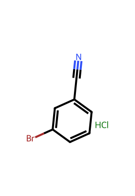 Cl.N#Cc1cccc(Br)c1